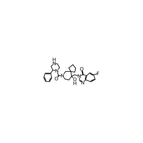 O=C(N1CCC(O)(Cn2cnc3ccc(F)cc3c2=O)C2(CCCC2)C1)N1CCNCC1c1ccccc1